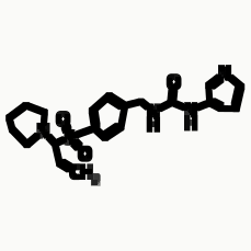 C=CC(N1CCCCC1)S(=O)(=O)c1ccc(CNC(=O)Nc2cccnc2)cc1